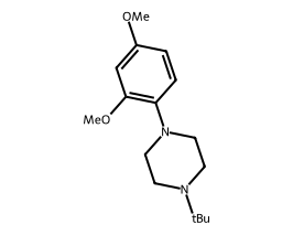 COc1ccc(N2CCN(C(C)(C)C)CC2)c(OC)c1